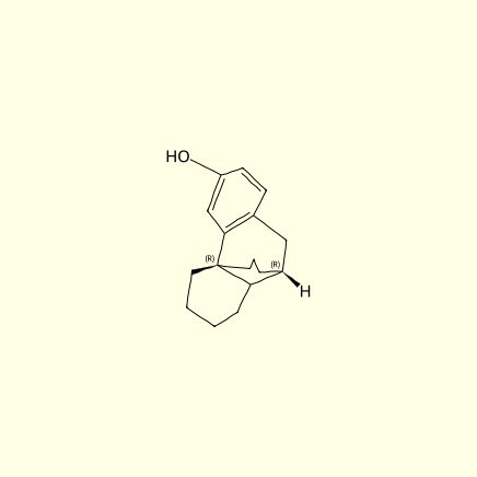 Oc1ccc2c(c1)[C@@]13CCCCC1[C@H](CCC3)C2